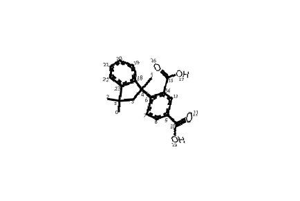 CC1(C)CC(C)(c2ccc(C(=O)O)cc2C(=O)O)c2ccccc21